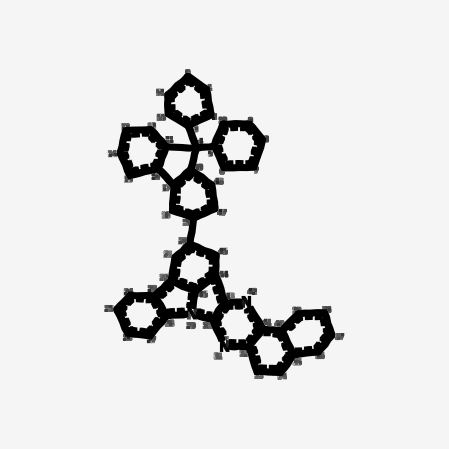 c1ccc(C2(c3ccccc3)c3ccccc3-c3cc(-c4cc5c6ccccc6n6c7nc8ccc9ccccc9c8nc7c(c4)c56)ccc32)cc1